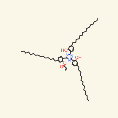 C=CC(=O)Oc1cc(CCCCCCCCCCCCCCC)ccc1-c1nc(-c2ccc(CCCCCCCCCCCCCCC)cc2O)nc(-c2ccc(CCCCCCCCCCCCCCC)cc2O)n1